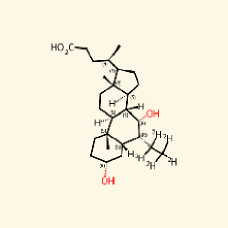 [2H]C([2H])([2H])C([2H])([2H])[C@H]1[C@@H](O)[C@@H]2[C@H](CC[C@]3(C)[C@@H]([C@H](C)CCC(=O)O)CC[C@@H]23)[C@@]2(C)CC[C@@H](O)C[C@@H]12